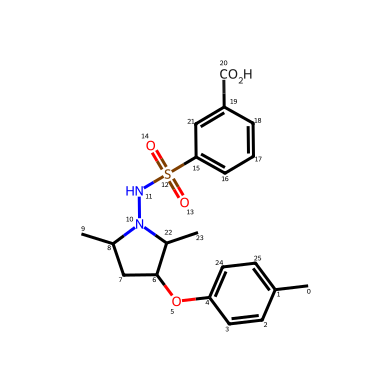 Cc1ccc(OC2CC(C)N(NS(=O)(=O)c3cccc(C(=O)O)c3)C2C)cc1